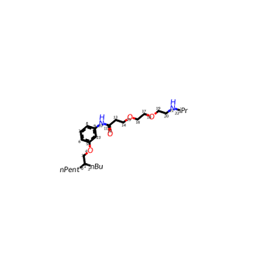 CCCCCC(CCCC)COc1cccc(NC(=O)CCOCCOCCNC(C)C)c1